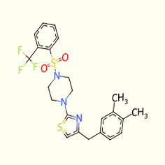 Cc1ccc(Cc2csc(N3CCN(S(=O)(=O)c4ccccc4C(F)(F)F)CC3)n2)cc1C